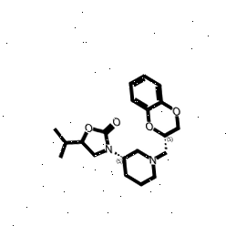 CC(C)C1CN([C@H]2CCCN(C[C@H]3COc4ccccc4O3)C2)C(=O)O1